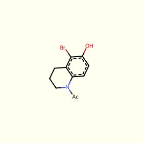 CC(=O)N1CCCc2c1ccc(O)c2Br